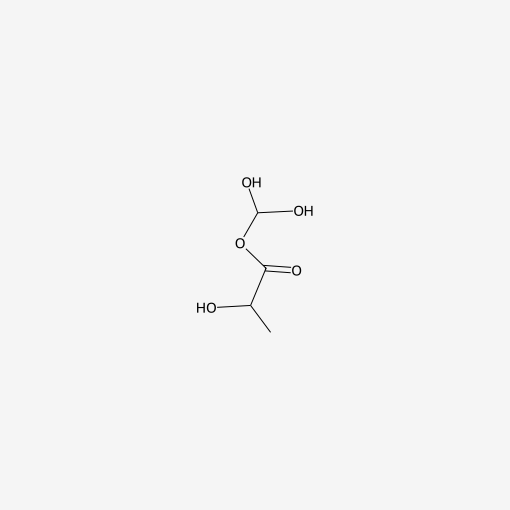 CC(O)C(=O)OC(O)O